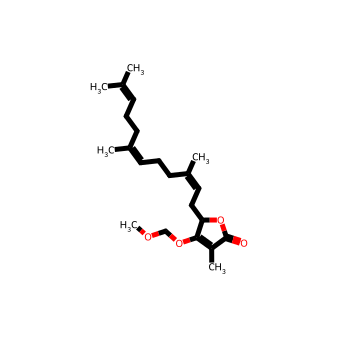 COCOC1=C(C)C(=O)OC1CC=C(C)CCC=C(C)CCC=C(C)C